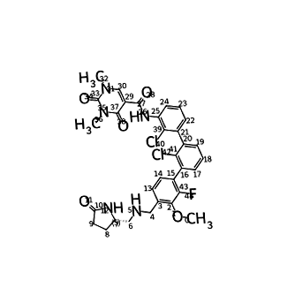 COc1c(CNC[C@@H]2CCC(=O)N2)ccc(-c2cccc(-c3cccc(NC(=O)c4cn(C)c(=O)n(C)c4=O)c3Cl)c2Cl)c1F